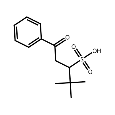 CC(C)(C)C(CC(=O)c1ccccc1)S(=O)(=O)O